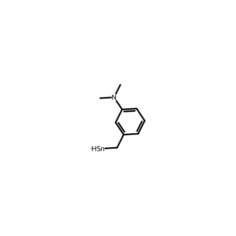 CN(C)c1cccc([CH2][SnH])c1